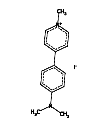 CN(C)c1ccc(-c2cc[n+](C)cc2)cc1.[I-]